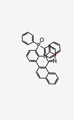 O=P(c1ccccc1)(c1ccccc1)c1cccc2c3ccc4ccccc4c3c3nc4ccccc4n3c12